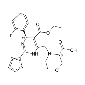 CCOC(=O)C1=C(CN2CCOC[C@H]2C(=O)O)NC(c2nccs2)=N[C@H]1c1ccccc1I